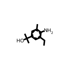 CCc1cc(C(C)(C)O)cc(C)c1N